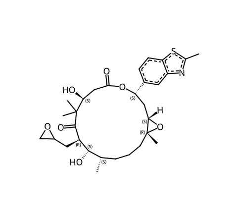 Cc1nc2cc([C@@H]3C[C@@H]4O[C@]4(C)CCC[C@H](C)[C@H](O)[C@@H](CC4CO4)C(=O)C(C)(C)[C@@H](O)CC(=O)O3)ccc2s1